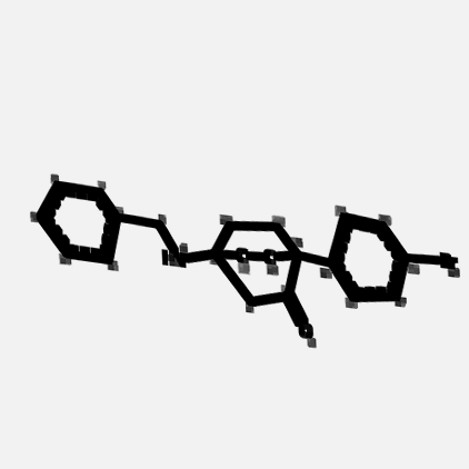 O=C1CC2(NCc3ccccc3)CCC1(c1ccc(Br)cc1)CC2